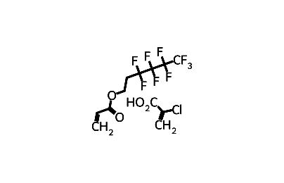 C=C(Cl)C(=O)O.C=CC(=O)OCCC(F)(F)C(F)(F)C(F)(F)C(F)(F)F